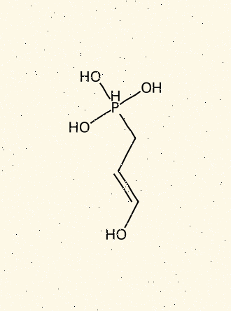 OC=CC[PH](O)(O)O